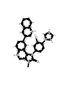 Cn1c(=O)n(-c2ccc(-n3cncn3)c(Cl)c2)c2c3cc(-c4cnc5ccccc5c4)ccc3ncc21